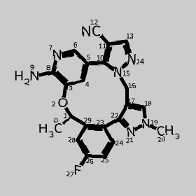 C[C@H]1Oc2cc(cnc2N)-c2c(C#N)cnn2Cc2cn(C)nc2-c2ccc(F)cc21